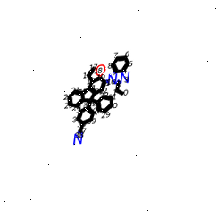 CCc1nc2ccccc2n1-c1cc2c(c3ccoc13)-c1ccccc1C2(c1ccccc1)c1ccc(C#N)cc1